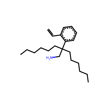 C=Cc1ccccc1C(CN)(CCCCCC)CCCCCC